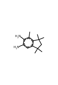 Cc1c(N)c(N)cc2c1C(C)(C)CC2(C)C